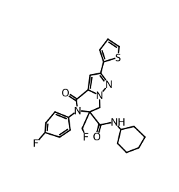 O=C1c2cc(-c3cccs3)nn2CC(CF)(C(=O)NC2CCCCC2)N1c1ccc(F)cc1